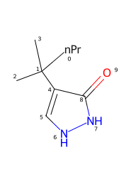 CCCC(C)(C)c1c[nH][nH]c1=O